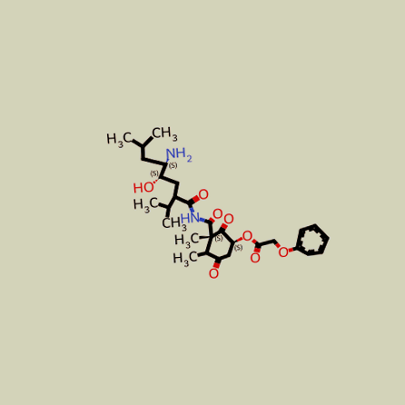 CC(C)C[C@H](N)[C@@H](O)CC(C(=O)NC(=O)[C@]1(C)C(=O)[C@@H](OC(=O)COc2ccccc2)CC(=O)C1C)C(C)C